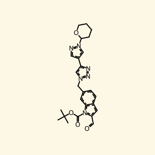 CC(C)(C)OC(=O)n1c(C=O)cc2ccc(Cn3cc(-c4cnn(C5CCCCO5)c4)nn3)cc21